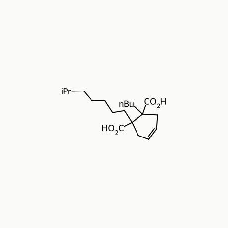 CCCCC1(C(=O)O)CC=CCC1(CCCCCC(C)C)C(=O)O